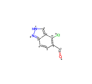 O=Cc1ccc2n[nH]cc2c1Cl